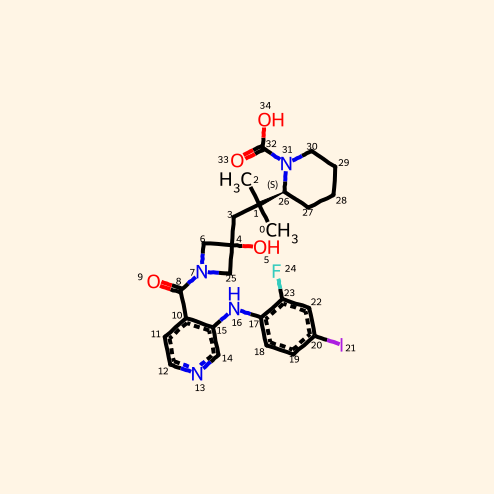 CC(C)(CC1(O)CN(C(=O)c2ccncc2Nc2ccc(I)cc2F)C1)[C@@H]1CCCCN1C(=O)O